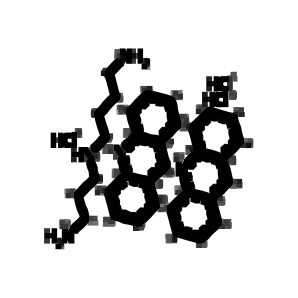 Cl.Cl.Cl.NCCCCNCCCN.c1ccc2nc3ccccc3cc2c1.c1ccc2nc3ccccc3cc2c1